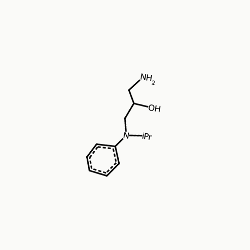 CC(C)N(CC(O)CN)c1ccccc1